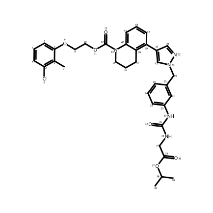 Cc1c(Cl)cccc1OCCOC(=O)N1CCCc2c(-c3cnn(Cc4cccc(NC(=O)NCC(=O)OC(C)C)c4)c3)cccc21